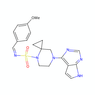 COc1ccc(/C=N\S(=O)(=O)N2CCN(c3ncnc4[nH]ccc34)CC23CC3)cc1